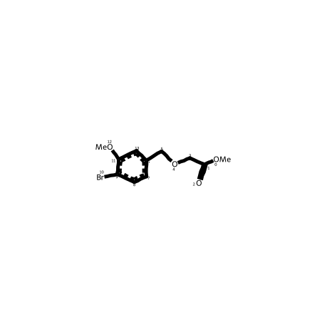 COC(=O)COCc1ccc(Br)c(OC)c1